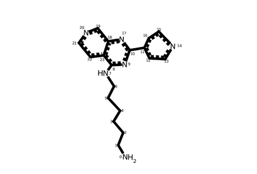 NCCCCCCNc1nc(-c2ccncc2)nc2cnccc12